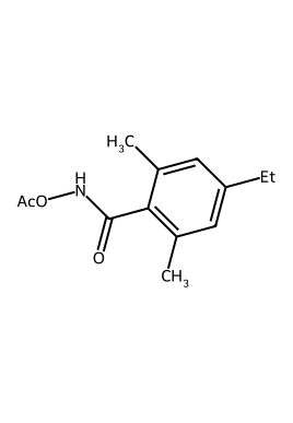 CCc1cc(C)c(C(=O)NOC(C)=O)c(C)c1